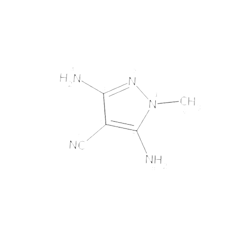 Cn1nc(N)c(C#N)c1N